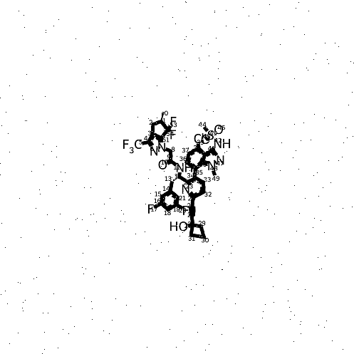 C[C@@H]1Cc2c(C(F)(F)F)nn(CC(=O)N[C@@H](Cc3cc(F)cc(F)c3)c3nc(C#CC4(O)CCC4)ccc3-c3ccc(Cl)c4c(NS(C)(=O)=O)nn(C)c34)c2C1(F)F